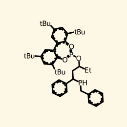 CCC(CC(PCc1ccccc1)c1ccccc1)Op1oc2c(C(C)(C)C)cc(C(C)(C)C)cc2c2cc(C(C)(C)C)cc(C(C)(C)C)c2o1